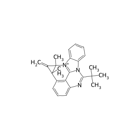 C=C1C2(C)c3cccc4nc(C(C)(C)C)n5c6ccccc6[n+](c5c34)C12C